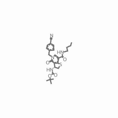 CCCCNC(=O)c1cn(Cc2ccc(C#N)cc2)c(=O)c2c1SC[C@@H]2NC(=O)OC(C)(C)C